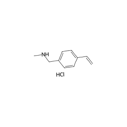 C=Cc1ccc(CNC)cc1.Cl